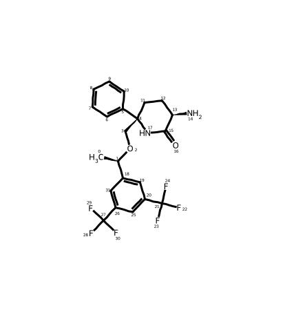 C[C@@H](OC[C@@]1(c2ccccc2)CC[C@@H](N)C(=O)N1)c1cc(C(F)(F)F)cc(C(F)(F)F)c1